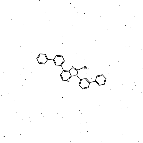 CC(C)(C)c1nc2c(-c3cccc(-c4ccccc4)c3)ccnc2n1-c1cccc(-c2ccccc2)c1